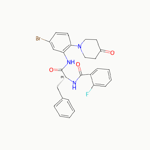 O=C1CCN(c2ccc(Br)cc2NC(=O)[C@@H](Cc2ccccc2)NC(=O)c2ccccc2F)CC1